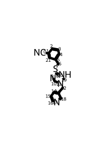 N#Cc1cccc(CSC2=NCN(Cc3cccnc3)CN2)c1